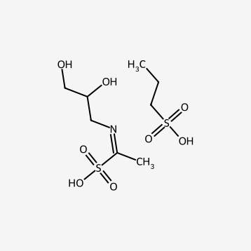 CC(=NCC(O)CO)S(=O)(=O)O.CCCS(=O)(=O)O